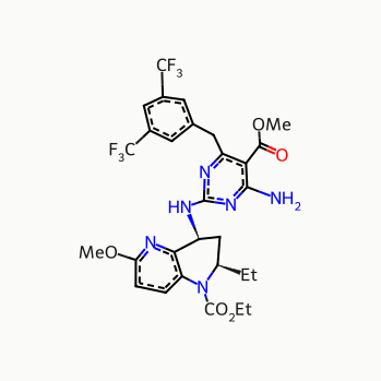 CCOC(=O)N1c2ccc(OC)nc2[C@@H](Nc2nc(N)c(C(=O)OC)c(Cc3cc(C(F)(F)F)cc(C(F)(F)F)c3)n2)C[C@H]1CC